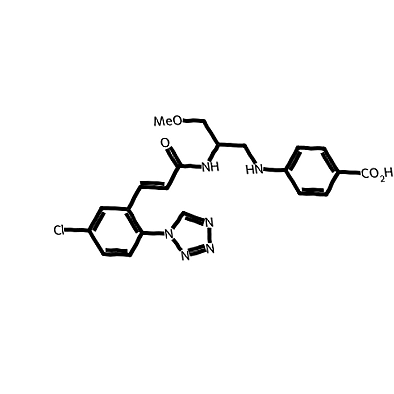 COCC(CNc1ccc(C(=O)O)cc1)NC(=O)/C=C/c1cc(Cl)ccc1-n1cnnn1